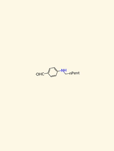 CCCCCCNc1ccc([C]=O)cc1